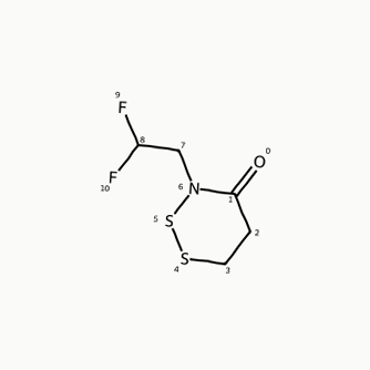 O=C1CCSSN1CC(F)F